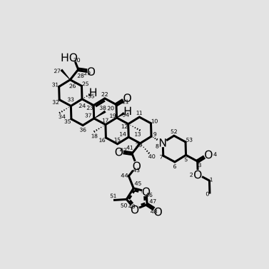 CCOC(=O)C1CCN([C@H]2CC[C@@]3(C)C(CC[C@]4(C)[C@@H]3C(=O)C=C3[C@@H]5C[C@@](C)(C(=O)O)CC[C@]5(C)CC[C@]34C)[C@]2(C)C(=O)OCc2oc(=O)oc2C)CC1